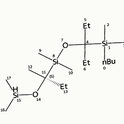 CCCC[Si](C)(C)C(CC)(CC)O[Si](C)(C)[C@@](C)(CC)O[SiH](C)C